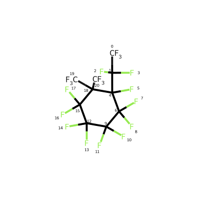 FC(F)(F)C(F)(F)C1(F)C(F)(F)C(F)(F)C(F)(F)C(F)(F)C1(C(F)(F)F)C(F)(F)F